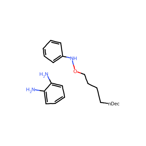 CCCCCCCCCCCCCCONc1ccccc1.Nc1ccccc1N